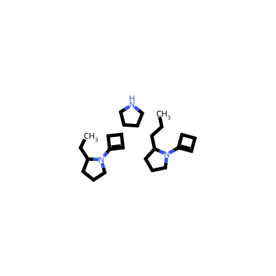 C1CCNC1.CCC1CCCN1C1=CCC1.CCCC1CCCN1C1=CCC1